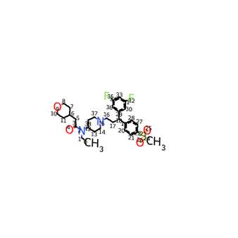 CCN(C(=O)CC1CCOCC1)C1CCN(CC[C@H](c2ccc(S(C)(=O)=O)cc2)c2cc(F)cc(F)c2)CC1